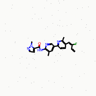 C=C/C(F)=C\c1ccc(-c2cnc(NC(=O)c3ccnn3C)c(C)c2)nc1C